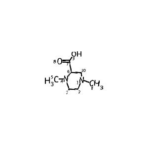 CN1CCN(C)C(C(=O)O)C1